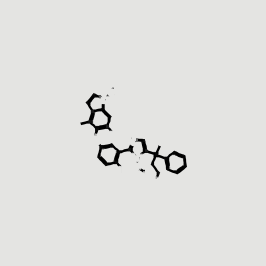 Cc1c(Oc2ccc(F)c(-c3ncc(C(C)(CCC=O)c4ccccc4)n3SI)c2)c(F)cc2c1ccn2SI